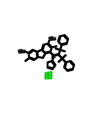 Cc1cc2c(cc1C(C)(C)C)-c1cc(C(C)(C)C)c(C)[c]([Zr]([C]3=CC=CC3)=[C](C(C)(C)c3ccccc3)C(C)(C)c3ccccc3)c1C2.Cl.Cl